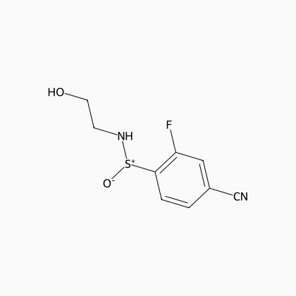 N#Cc1ccc([S+]([O-])NCCO)c(F)c1